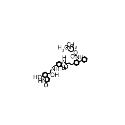 C[N+]1(C)CCC(OC(=O)Nc2cc(CCC(=O)Nc3ccc(CNC[C@@H](O)c4ccc(O)c5[nH]c(=O)ccc45)cc3Br)ccc2-c2ccccc2)CC1